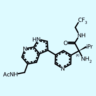 CC(=O)NCc1cnc2[nH]cc(-c3cncc([C@@](N)(C(=O)NCC(F)(F)F)C(C)C)c3)c2c1